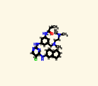 C=CC(=O)Nc1cc(CN(C)CCN(C)C)cc(Nc2ncc(Cl)c(Nc3ccc4ccccc4c3)n2)c1